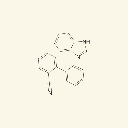 N#Cc1ccccc1-c1ccccc1.c1ccc2[nH]cnc2c1